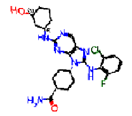 NC(=O)[C@H]1CC[C@H](n2c(Nc3c(F)cccc3Cl)nc3cnc(N[C@@H]4CCC[C@H](O)C4)nc32)CC1